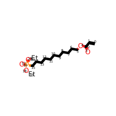 C=CC(=O)OCCCCCCCCCCCP(=O)(OCC)OCC